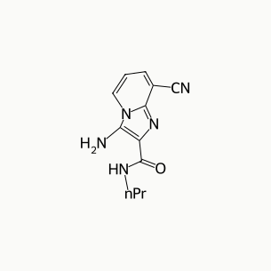 CCCNC(=O)c1nc2c(C#N)cccn2c1N